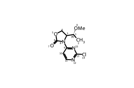 CO[C@H](C)C1COC(=O)N1c1ccnc(Cl)n1